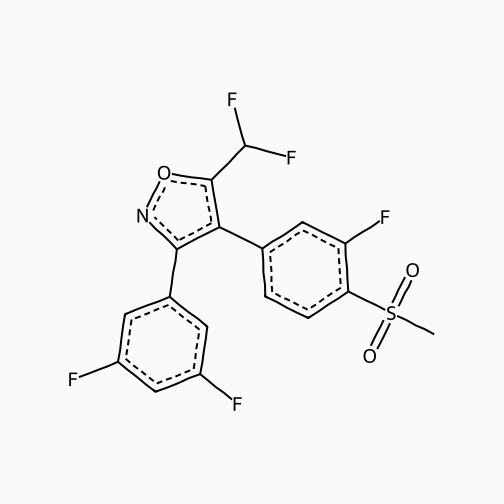 CS(=O)(=O)c1ccc(-c2c(-c3cc(F)cc(F)c3)noc2C(F)F)cc1F